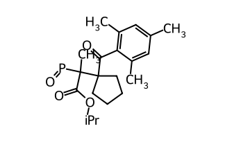 Cc1cc(C)c(C(=O)C2(C(C)(P=O)C(=O)OC(C)C)CCCC2)c(C)c1